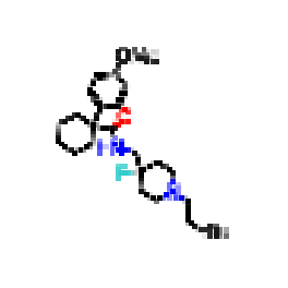 COc1ccc(C2(C(=O)NCC3(F)CCN(CCC(C)(C)C)CC3)CCCCC2)cc1